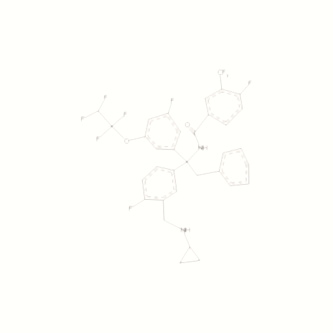 O=C(NC(Cc1ccccc1)(c1cc(F)cc(OC(F)(F)C(F)F)c1)c1ccc(F)c(CNC2CC2)c1)c1ccc(F)c(C(F)(F)F)c1